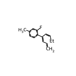 C=C/C=C(\C=C/CC)c1ccc(C)cc1F